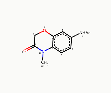 CC(=O)Nc1ccc2c(c1)OCC(=O)N2C